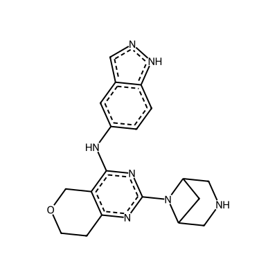 c1cc2[nH]ncc2cc1Nc1nc(N2C3CNCC2C3)nc2c1COCC2